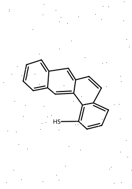 Sc1cccc2ccc3cc4ccccc4cc3c12